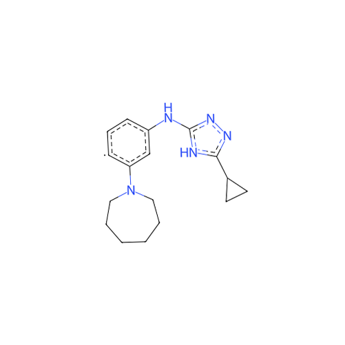 [c]1ccc(Nc2nnc(C3CC3)[nH]2)cc1N1CCCCCC1